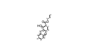 C=CCOC(=O)c1ccc2c(c1O)Cc1ccccc1O2